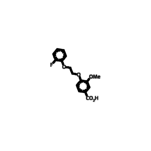 COc1cc(C(=O)O)ccc1OCCOc1ccccc1F